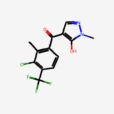 Cc1c(C(=O)c2cnn(C)c2O)ccc(C(F)(F)F)c1Cl